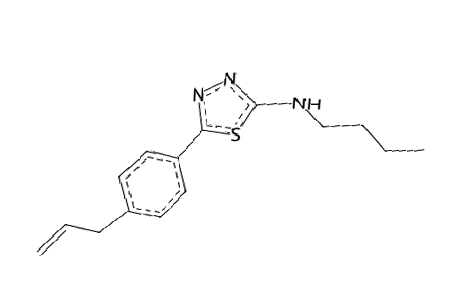 C=CCc1ccc(-c2nnc(NCCCC)s2)cc1